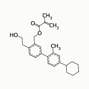 C=C(C)C(=O)OCc1cc(-c2ccc(C3CCCCC3)cc2C)ccc1CCO